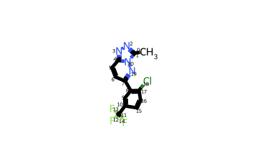 Cc1nnc2ccc(-c3cc(C(F)(F)F)ccc3Cl)nn12